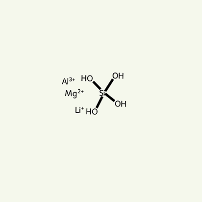 O[Si](O)(O)O.[Al+3].[Li+].[Mg+2]